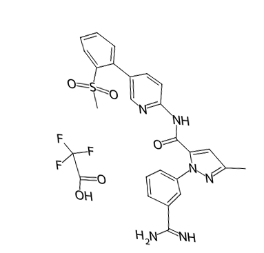 Cc1cc(C(=O)Nc2ccc(-c3ccccc3S(C)(=O)=O)cn2)n(-c2cccc(C(=N)N)c2)n1.O=C(O)C(F)(F)F